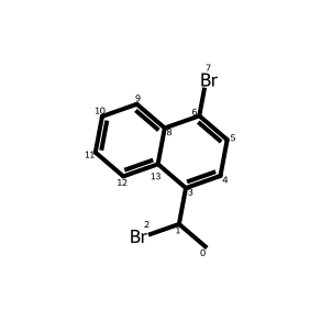 CC(Br)c1ccc(Br)c2ccccc12